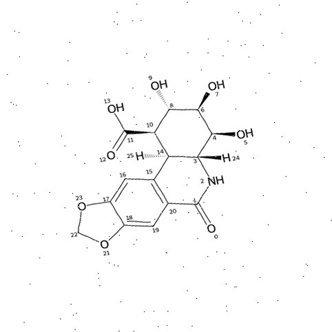 O=C1N[C@H]2[C@H](O)[C@H](O)[C@@H](O)[C@H](C(=O)O)[C@@H]2c2cc3c(cc21)OCO3